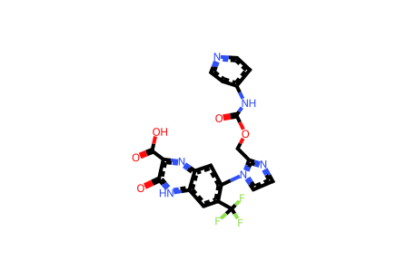 O=C(Nc1ccncc1)OCc1nccn1-c1cc2nc(C(=O)O)c(=O)[nH]c2cc1C(F)(F)F